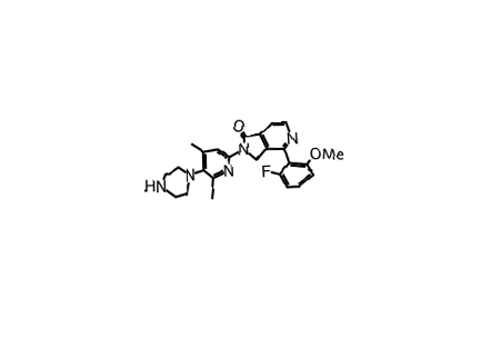 COc1cccc(F)c1-c1nccc2c1CN(c1cc(C)c(N3CCNCC3)c(C)n1)C2=O